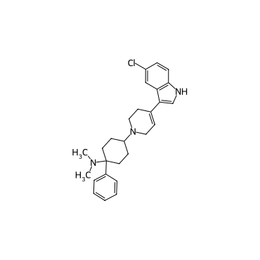 CN(C)C1(c2ccccc2)CCC(N2CC=C(c3c[nH]c4ccc(Cl)cc34)CC2)CC1